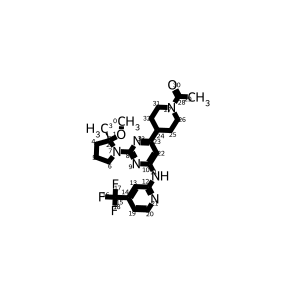 CO[C@]1(C)CCCN1c1nc(Nc2cc(C(F)(F)F)ccn2)cc(C2CCN(C(C)=O)CC2)n1